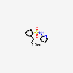 CCCCCCCCCCCCc1ccccc1S(=O)(=O)Nc1ccccn1